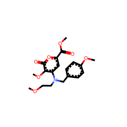 COCCN(Cc1ccc(OC)cc1)c1cc(C(=O)OC)oc(=O)c1OC